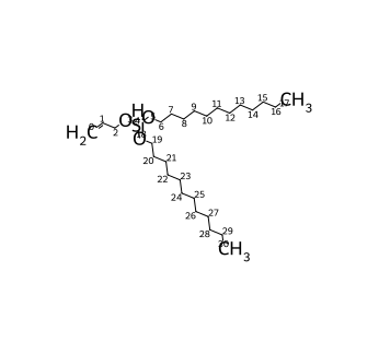 C=CCO[SiH](OCCCCCCCCCCCC)OCCCCCCCCCCCC